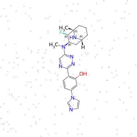 CN(c1cnc(-c2ccc(-n3ccnc3)cc2O)nn1)[C@@H]1C[C@H]2CCC[C@](C)(N2)[C@@H]1F